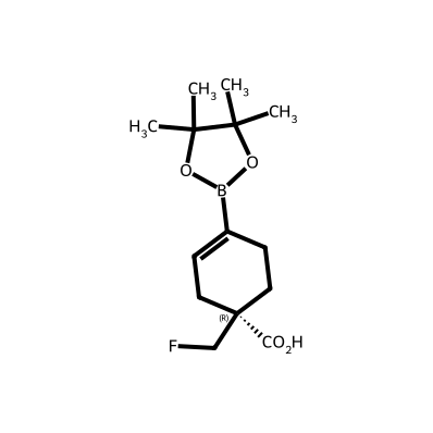 CC1(C)OB(C2=CC[C@@](CF)(C(=O)O)CC2)OC1(C)C